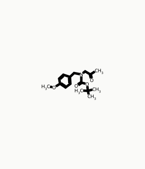 COc1ccc(CN(CC(C)=O)C(=O)OC(C)(C)C)cc1